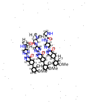 COc1cccc(-c2ccc3c(=O)n(-c4ccc(NC(=O)[C@@H]5CCCN5)cn4)ncc3c2)c1C.COc1cccc(-c2ccc3c(=O)n(-c4ncc(N5CCC(N(C)C)C5)cn4)ncc3c2)c1C.COc1cccc(-c2ccc3c(=O)n(-c4ncc(NC(C)(C)CO)cn4)ncc3c2)c1C